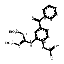 CCOC(=O)N=C(NC(=O)OCC)Nc1cc(C(=O)c2ccccc2)ccc1NC(=O)CC